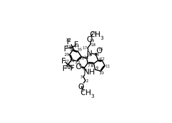 COCCNC(=O)C1=C2CC=CC=C2C(=O)N(CCOC)C1c1cc(C(F)(F)F)cc(C(F)(F)F)c1